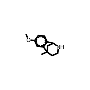 COc1ccc2c(c1)C1(C)CCNC2C1